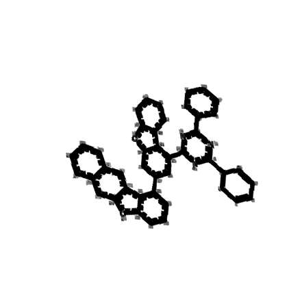 C1=CCC(c2nc(-c3ccccc3)nc(-c3cc(-c4cccc5oc6cc7ccccc7cc6c45)cc4oc5ccccc5c34)n2)C=C1